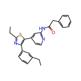 CCc1cccc(-c2nc(CC)sc2-c2ccnc(NC(=O)Cc3ccccc3)c2)c1